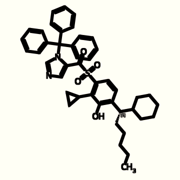 CCCCC[C@H](c1ccc(S(=O)(=O)C(=O)c2cncn2C(c2ccccc2)(c2ccccc2)c2ccccc2)c(C2CC2)c1O)C1CCCCC1